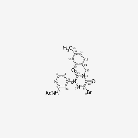 CC(=O)Nc1cccc(-n2nc(Br)c(=O)n(Cc3ccc(C)cc3)c2=O)c1